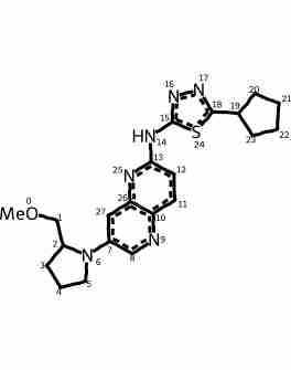 COCC1CCCN1c1cnc2ccc(Nc3nnc(C4CCCC4)s3)nc2c1